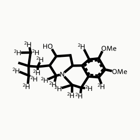 [2H]c1c(OC)c(OC)c([2H])c2c1C1CC(O)C(C([2H])([2H])C(C)(C([2H])([2H])[2H])C([2H])([2H])[2H])C([2H])([2H])N1C([2H])([2H])C2([2H])[2H]